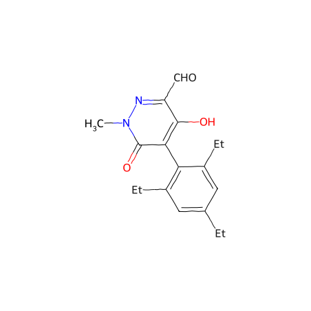 CCc1cc(CC)c(-c2c(O)c(C=O)nn(C)c2=O)c(CC)c1